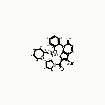 O=C(c1sc2c(ccc(=O)n2-c2ccccc2Cl)c1Br)N1CCC[C@@H]1COC1CCCCO1